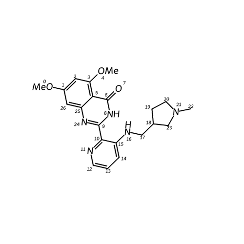 COc1cc(OC)c2c(=O)[nH]c(-c3ncccc3NCC3CCN(C)C3)nc2c1